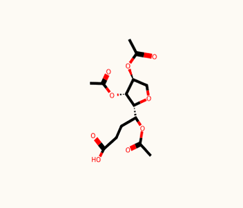 CC(=O)OC(CCC(=O)O)[C@H]1OC[C@H](OC(C)=O)[C@H]1OC(C)=O